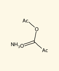 CC(=O)OC(=O)C(C)=O.N